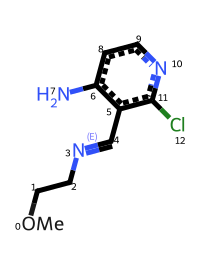 COCC/N=C/c1c(N)ccnc1Cl